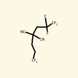 N#CC(C#N)(CCC(F)(F)F)CC(F)(F)C(F)(F)F